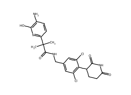 CC(C)(C(=O)NCc1cc(Cl)c(C2CCC(=O)NC2=O)c(Cl)c1)c1ccc(N)c(O)n1